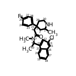 CC1CC(CC(=O)N(C)C(C)c2cc(Cl)cc3ccccc23)(c2ccc(F)cc2)CCN1